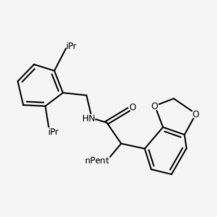 CCCCCC(C(=O)NCc1c(C(C)C)cccc1C(C)C)c1cccc2c1OCO2